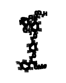 CON=C(COc1ccc(COc2ccc(CCC(=O)O)c(-c3c(C)noc3C)c2)cc1)c1ccccc1